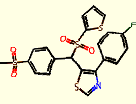 CS(=O)(=O)c1ccc(C(c2scnc2-c2ccc(F)cc2)S(=O)(=O)c2cccs2)cc1